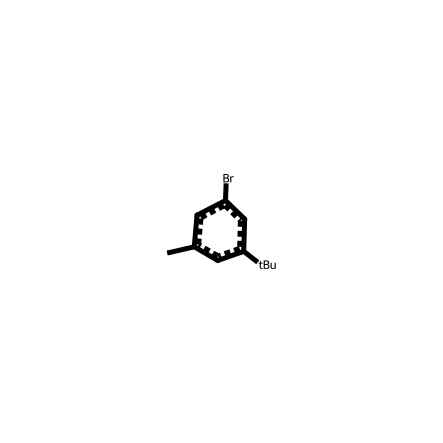 Cc1cc(Br)cc(C(C)(C)C)c1